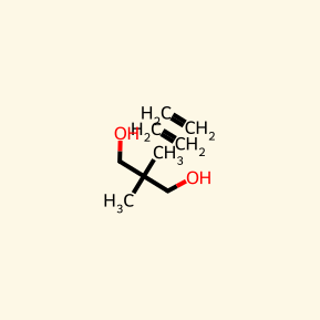 C=C.C=C.CC(C)(CO)CO